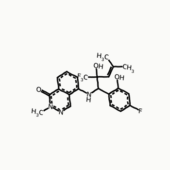 CC(C)=CC(O)(C(Nc1cccc2c(=O)n(C)ncc12)c1ccc(F)cc1O)C(F)(F)F